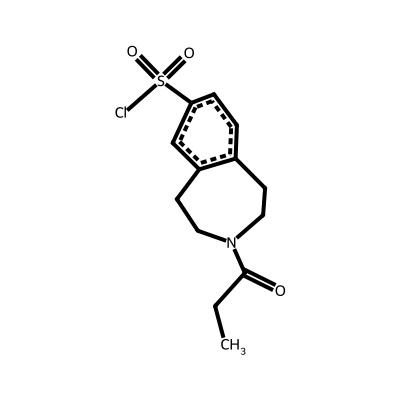 CCC(=O)N1CCc2ccc(S(=O)(=O)Cl)cc2CC1